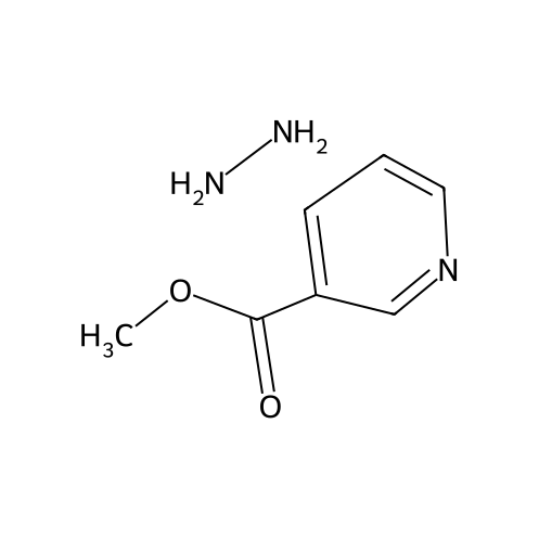 COC(=O)c1cccnc1.NN